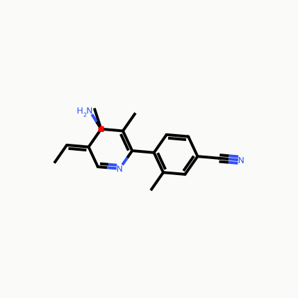 C\C=C(/C=N\C(=C(\C)CC)c1ccc(C#N)cc1C)CN